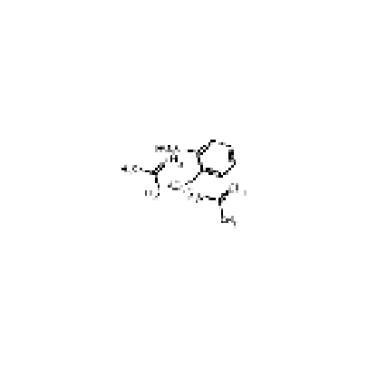 C=C(C)C.C=C(C)C.O=C(O)c1ccccc1C(=O)O